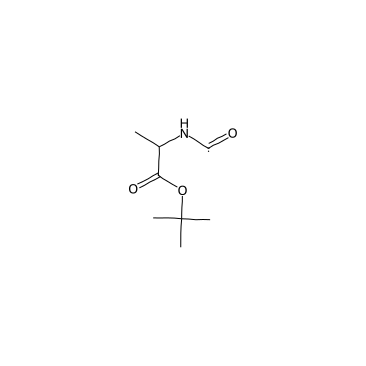 CC(N[C]=O)C(=O)OC(C)(C)C